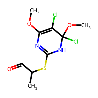 COC1=C(Cl)C(Cl)(OC)NC(SC(C)C=O)=N1